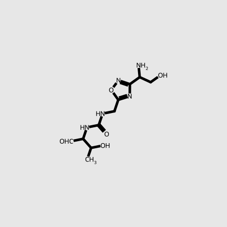 CC(O)C(C=O)NC(=O)NCc1nc(C(N)CO)no1